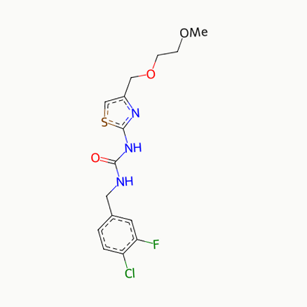 COCCOCc1csc(NC(=O)NCc2ccc(Cl)c(F)c2)n1